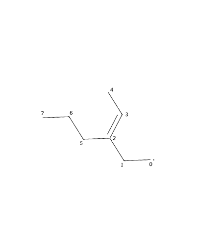 [CH2]CC(=CC)CCC